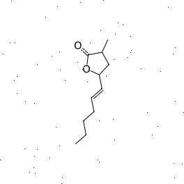 CCCCC=CC1CC(C)C(=O)O1